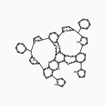 c1ccc(C2c3ccc([nH]3)-c3ccc(-c4ccc[nH]4)c4nc5c6nc7c(-c8ccc[nH]8)ccc8c7nc6c6nc7c(ccc(c7nc6c5nc34)-c3ccc2[nH]3)-c2ccc([nH]2)C(c2ccccc2)c2ccc-8[nH]2)cc1